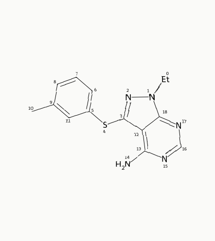 CCn1nc(Sc2cccc(C)c2)c2c(N)ncnc21